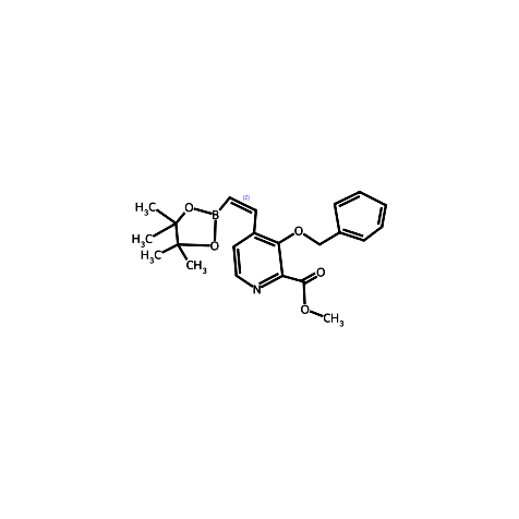 COC(=O)c1nccc(/C=C\B2OC(C)(C)C(C)(C)O2)c1OCc1ccccc1